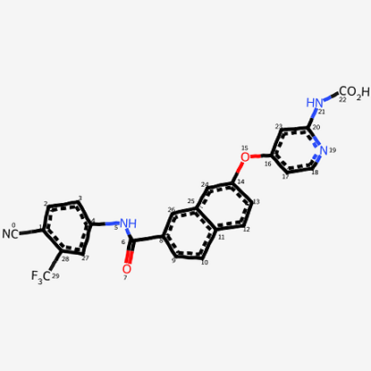 N#Cc1ccc(NC(=O)c2ccc3ccc(Oc4ccnc(NC(=O)O)c4)cc3c2)cc1C(F)(F)F